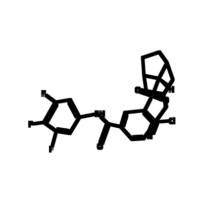 N#CC[C@H]1CC2CCC(C1)[C@@H]2S(=O)(=O)c1cc(C(=O)Nc2cc(F)c(F)c(F)c2)ccc1Cl